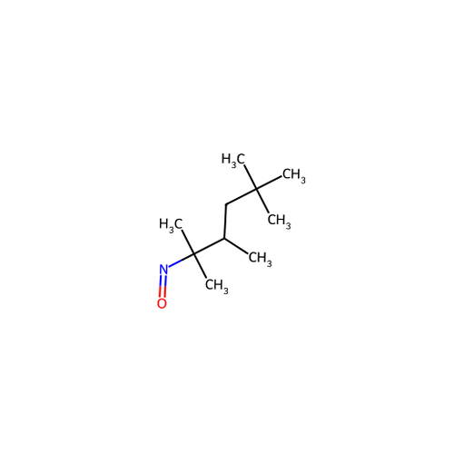 CC(CC(C)(C)C)C(C)(C)N=O